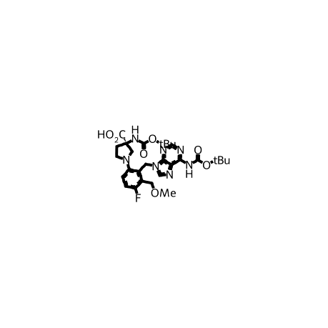 COCc1c(F)ccc(N2CC[C@](NC(=O)OC(C)(C)C)(C(=O)O)C2)c1Cn1cnc2c(NC(=O)OC(C)(C)C)ncnc21